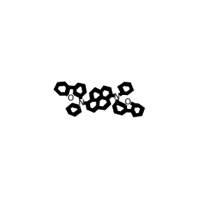 C1=CCCC(N(c2ccc3ccc4c(N(c5ccccc5)c5cccc6c7c(oc56)CCC=C7)ccc5ccc2c3c54)c2cccc3c2oc2ccccc23)=C1